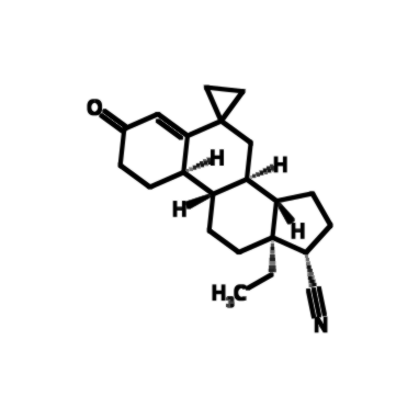 CC[C@]12CC[C@H]3[C@@H](CC4(CC4)C4=CC(=O)CC[C@@H]43)[C@@H]1CC[C@@H]2C#N